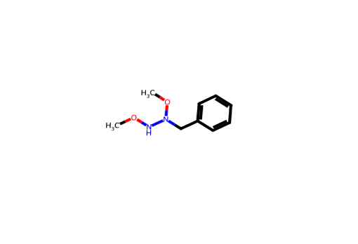 CONN(Cc1ccccc1)OC